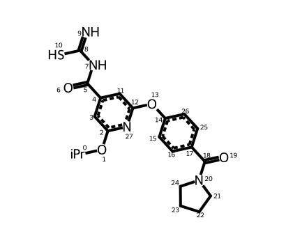 CC(C)Oc1cc(C(=O)NC(=N)S)cc(Oc2ccc(C(=O)N3CCCC3)cc2)n1